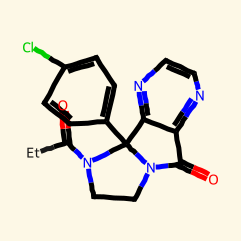 CCC(=O)N1CCN2C(=O)c3nccnc3C12c1ccc(Cl)cc1